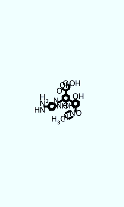 CN1CCN(C(=O)c2ccc(O)c(-c3cc(C(CC(=O)O)C(=O)O)cc(-c4nc5cc(C(=N)N)ccc5[nH]4)c3O)c2)CC1